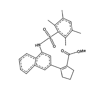 COC(=O)C1=C(c2cc(NS(=O)(=O)c3c(C)c(C)cc(C)c3C)c3ccccc3c2)CCC1